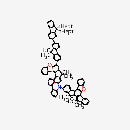 CCCCCCCC1(CCCCCCC)c2ccccc2-c2ccc(-c3ccc4c(c3)C(C)(C)c3cc(-c5cc6c(c7c5oc5ccccc57)-c5ccc(N(c7ccc8c(c7)C(C)(C)c7c9c(c%10oc%11ccccc%11c%10c7-8)-c7ccccc7C9(C)C)c7ccccc7-c7ccccc7)cc5C6(C)C)ccc3-4)cc21